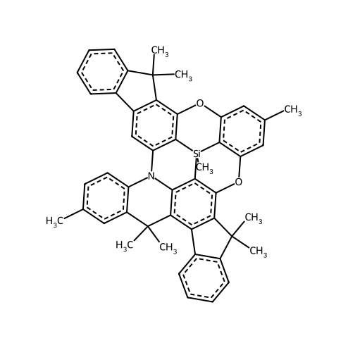 Cc1cc2c3c(c1)Oc1c4c(c5c6c1[Si]3(C)c1c(cc3c(c1O2)C(C)(C)c1ccccc1-3)N6c1ccc(C)cc1C5(C)C)-c1ccccc1C4(C)C